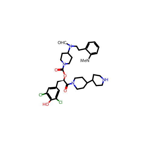 CNc1ccccc1CCN(C=O)C1CCN(C(=O)O[C@H](Cc2cc(Cl)c(O)c(Cl)c2)C(=O)N2CCC(C3CCNCC3)CC2)CC1